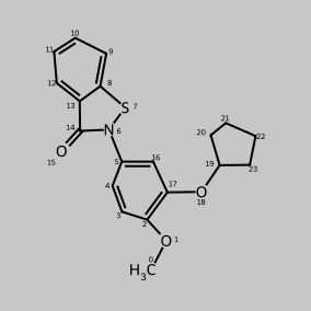 COc1ccc(-n2sc3ccccc3c2=O)cc1OC1CCCC1